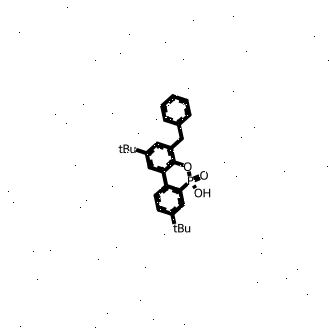 CC(C)(C)c1cc(Cc2ccccc2)c2c(c1)-c1ccc(C(C)(C)C)cc1P(=O)(O)O2